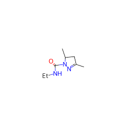 [CH2]CNC(=O)N1N=C(C)CC1C